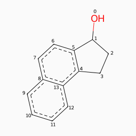 OC1CCc2c1ccc1ccccc21